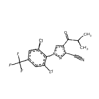 CC(C)C(=O)c1cn(-c2c(Cl)cc(C(F)(F)F)cc2Cl)nc1C#N